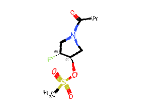 CC(C)C(=O)N1C[C@@H](F)[C@H](OS(C)(=O)=O)C1